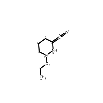 CCON1CCCC(=C=O)N1